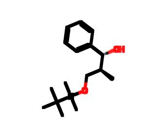 C[C@@H](CO[Si](C)(C)C(C)(C)C)[C@@H](O)c1ccccc1